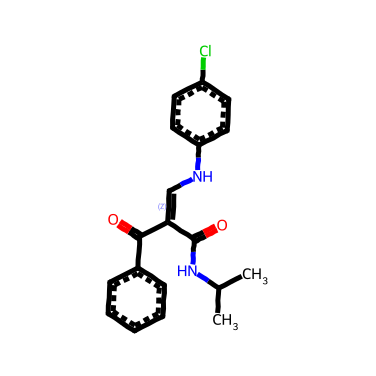 CC(C)NC(=O)/C(=C\Nc1ccc(Cl)cc1)C(=O)c1ccccc1